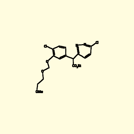 CCOC(=O)C(c1ccc(Cl)c(OCOCCOC)c1)c1ccc(Cl)nn1